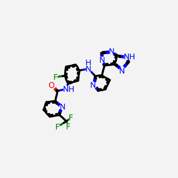 O=C(Nc1cc(Nc2ncccc2-c2ncnc3[nH]cnc23)ccc1F)c1cccc(C(F)(F)F)n1